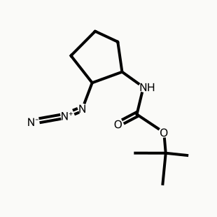 CC(C)(C)OC(=O)NC1CCCC1N=[N+]=[N-]